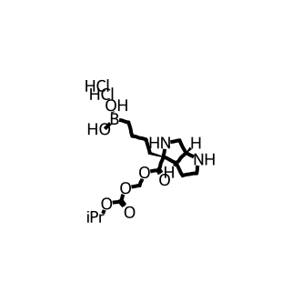 CC(C)OC(=O)OCOC(=O)[C@]1(CCCCB(O)O)NC[C@@H]2NCC[C@@H]21.Cl.Cl